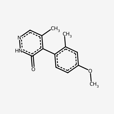 COc1ccc(-c2c(C)cn[nH]c2=O)c(C)c1